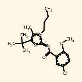 CCCCn1c(C)c(C(C)(C)C)s/c1=N\C(=O)c1cc(Cl)ccc1OC